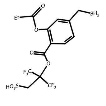 BCc1ccc(C(=O)OC(CS(=O)(=O)O)(C(F)(F)F)C(F)(F)F)c(OC(=O)CC)c1